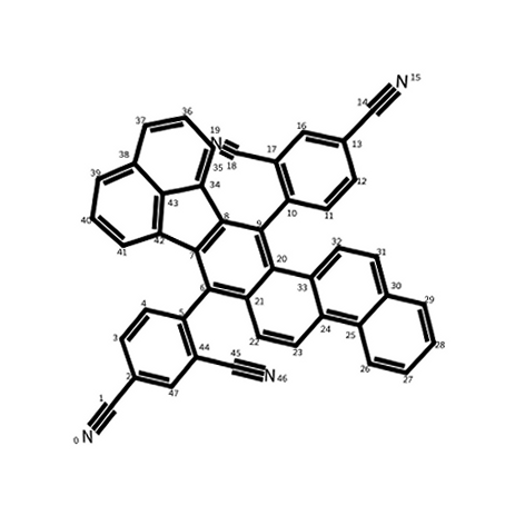 N#Cc1ccc(-c2c3c(c(-c4ccc(C#N)cc4C#N)c4c2ccc2c5ccccc5ccc24)-c2cccc4cccc-3c24)c(C#N)c1